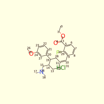 CCOC(=O)c1cccc(/C=C2/CCC(CN(C)C)C(c3cccc(OC)c3)C2)c1F.Cl